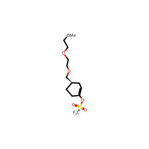 COCCOCCOC[C@H]1CC=C(OS(=O)(=O)C(F)(F)F)CC1